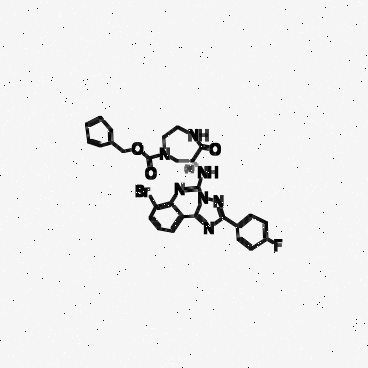 O=C1NCCN(C(=O)OCc2ccccc2)C[C@H]1Nc1nc2c(Br)cccc2c2nc(-c3ccc(F)cc3)nn12